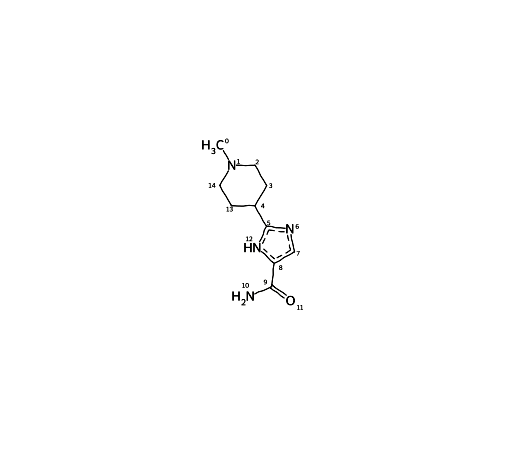 CN1CCC(c2ncc(C(N)=O)[nH]2)CC1